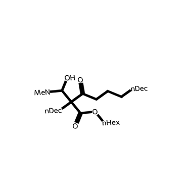 CCCCCCCCCCCCCC(=O)C(CCCCCCCCCC)(C(=O)OCCCCCC)C(O)NC